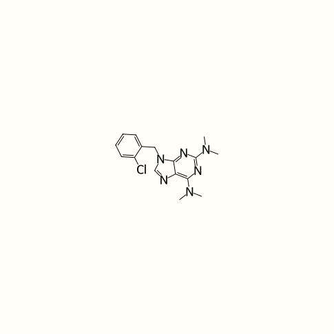 CN(C)c1nc(N(C)C)c2ncn(Cc3ccccc3Cl)c2n1